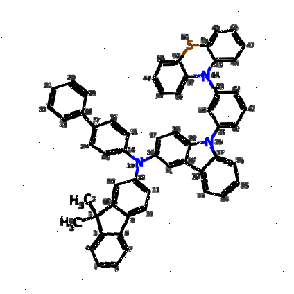 CC1(C)c2ccccc2-c2ccc(N(c3ccc(-c4c#cccc4)cc3)c3ccc4c(c3)c3ccccc3n4-c3cccc(N4c5ccccc5Sc5ccccc54)c3)cc21